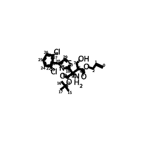 C=CCOC(=O)C(CO)C(N)(C(=O)OC(C)(C)C)c1nc(-c2c(Cl)cccc2Cl)cs1